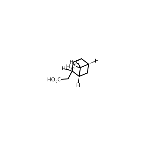 CC1(C)[C@H]2CC[C@@H](CC(=O)O)[C@H]1C2